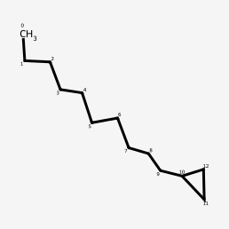 CCCCCCCCCCC1CC1